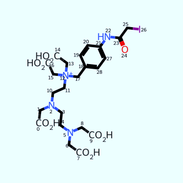 O=C(O)CN(CCN(CC(=O)O)CC(=O)O)CC[N+](CC(=O)O)(CC(=O)O)Cc1ccc(NC(=O)CI)cc1